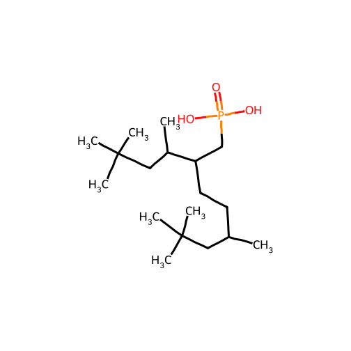 CC(CCC(CP(=O)(O)O)C(C)CC(C)(C)C)CC(C)(C)C